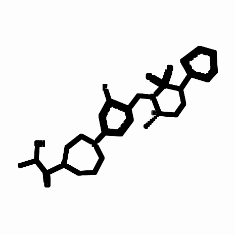 CC(O)C(=O)N1CCCN(c2ccc(CN3[C@@H](C)CCC(c4ccccc4)S3(=O)=O)c(F)c2)CC1